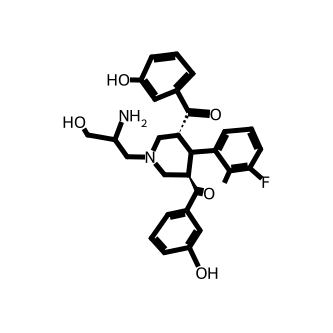 Cc1c(F)cccc1C1[C@@H](C(=O)c2cccc(O)c2)CN(CC(N)CO)C[C@@H]1C(=O)c1cccc(O)c1